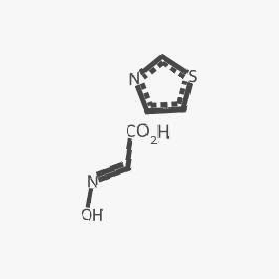 O=C(O)/C=N/O.c1cscn1